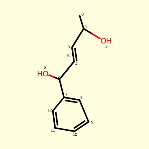 CC(O)/C=C/C(O)c1ccccc1